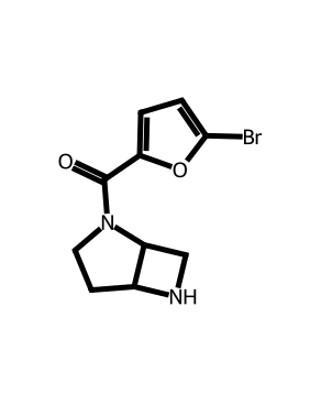 O=C(c1ccc(Br)o1)N1CCC2NCC21